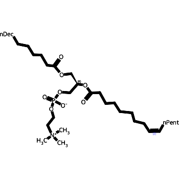 CCCCC/C=C\CCCCCCCC(=O)O[C@H](COC(=O)CCCCCCCCCCCCCCC)COP(=O)([O-])OCC[N+](C)(C)C